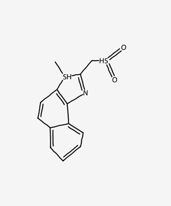 C[SH]1C(C[SH](=O)=O)=Nc2c1ccc1ccccc21